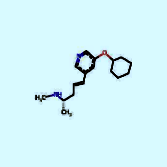 CN[C@@H](C)C/C=C/c1cncc(OC2CCCCC2)c1